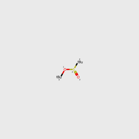 CC(C)(C)OS(=O)C(C)(C)C